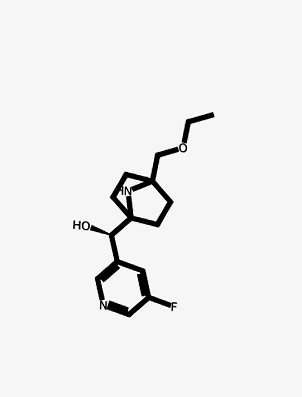 CCOCC12CCC([C@H](O)c3cncc(F)c3)(CC1)N2